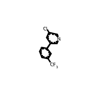 FC(F)(F)c1cc[c]c(-c2cncc(Cl)c2)c1